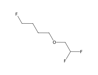 FCCCCOCC(F)F